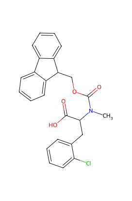 CN(C(=O)OCC1c2ccccc2-c2ccccc21)C(Cc1ccccc1Cl)C(=O)O